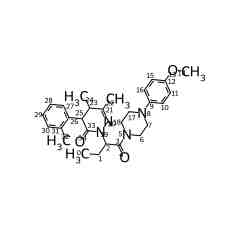 CCC(C(=O)N1CCN(c2ccc(OC)cc2)CC1)N1N=C(C)C(C)C(c2ccccc2C)C1=O